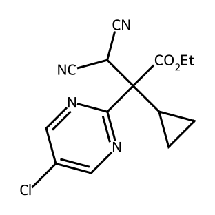 CCOC(=O)C(c1ncc(Cl)cn1)(C(C#N)C#N)C1CC1